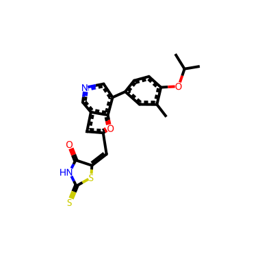 Cc1cc(-c2cncc3cc(C=C4SC(=S)NC4=O)oc23)ccc1OC(C)C